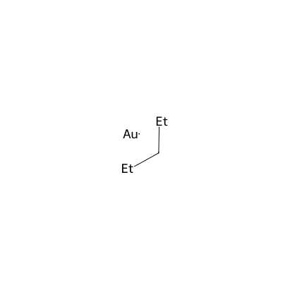 CCCCC.[Au]